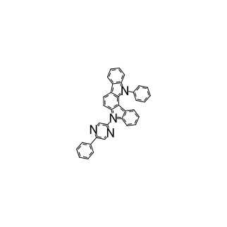 c1ccc(-c2cnc(-n3c4ccccc4c4c3ccc3c5ccccc5n(-c5ccccc5)c34)cn2)cc1